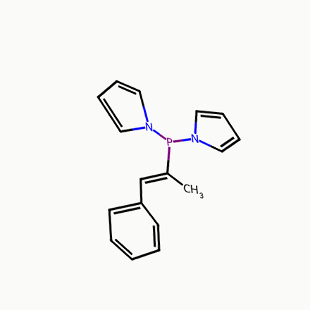 CC(=Cc1ccccc1)P(n1cccc1)n1cccc1